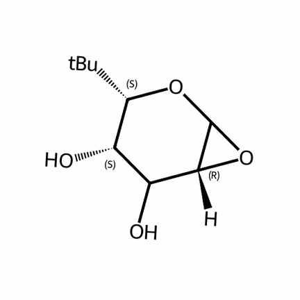 CC(C)(C)[C@@H]1OC2O[C@@H]2C(O)[C@@H]1O